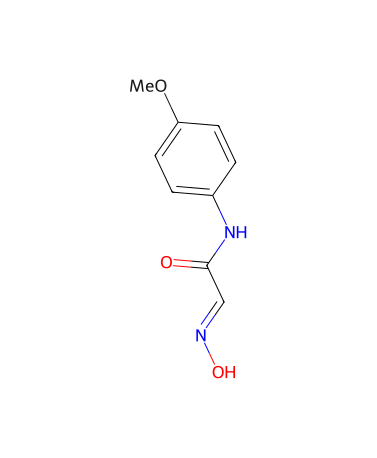 COc1ccc(NC(=O)C=NO)cc1